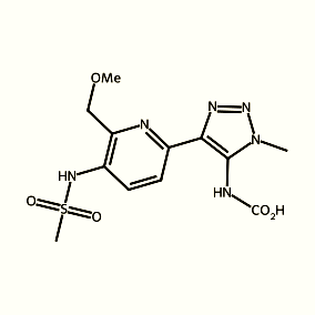 COCc1nc(-c2nnn(C)c2NC(=O)O)ccc1NS(C)(=O)=O